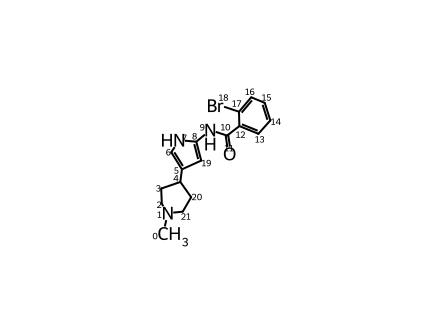 CN1CCC(c2c[nH]c(NC(=O)c3ccccc3Br)c2)CC1